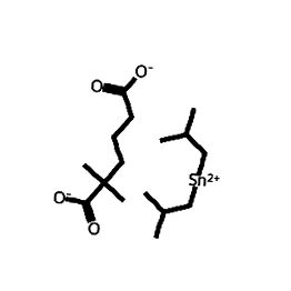 CC(C)(CCCC(=O)[O-])C(=O)[O-].CC(C)[CH2][Sn+2][CH2]C(C)C